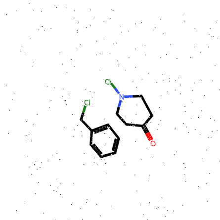 ClCc1ccccc1.O=C1CCN(Cl)CC1